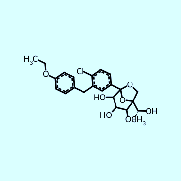 CCOc1ccc(Cc2cc(C34OCC([C@@H](C)O)(O3)C(O)C(O)C4O)ccc2Cl)cc1